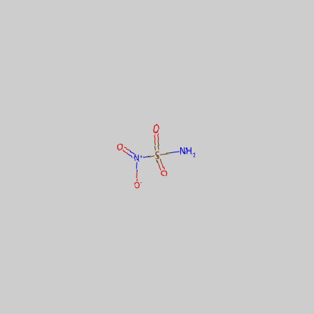 NS(=O)(=O)[N+](=O)[O-]